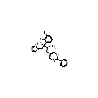 C[C@@H](S[C@H]1CO[C@H](c2ccccc2)OC1)[C@](O)(Cn1cncn1)c1cccc(F)c1F